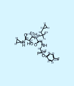 CC[C@H](NC(=O)[C@H](CC(F)(F)CC1CC1)NCC(F)(F)Oc1ccc(F)cc1)C(O)C(=O)NC1CC1